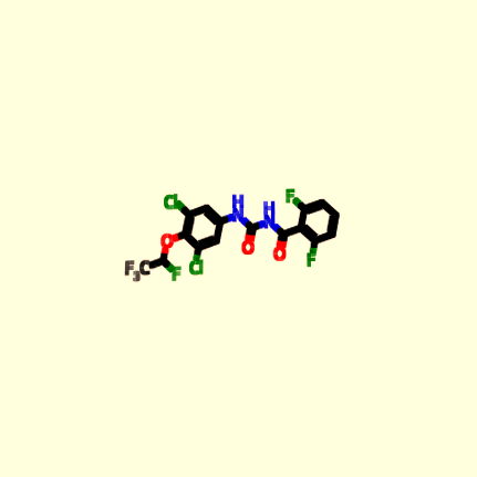 O=C(NC(=O)c1c(F)cccc1F)Nc1cc(Cl)c(OC(F)C(F)(F)F)c(Cl)c1